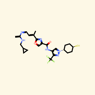 C=C(/N=C\C=C(/C)c1nc(C(=O)Nc2cn([C@H]3CC[C@H](S)CC3)nc2C(F)(F)F)co1)NCC1CC1